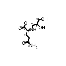 NC(=O)CC[C@H](NCC(O)CO)C(=O)O